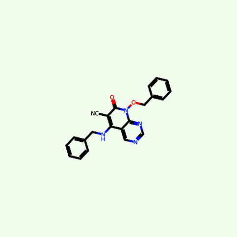 N#Cc1c(NCc2ccccc2)c2cncnc2n(OCc2ccccc2)c1=O